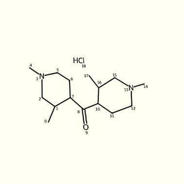 CC1CN(C)CCC1C(=O)C1CCN(C)CC1C.Cl